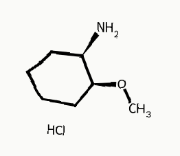 CO[C@H]1CCCC[C@H]1N.Cl